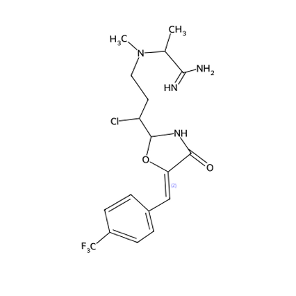 CC(C(=N)N)N(C)CCC(Cl)C1NC(=O)/C(=C/c2ccc(C(F)(F)F)cc2)O1